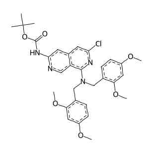 COc1ccc(CN(Cc2ccc(OC)cc2OC)c2nc(Cl)cc3cc(NC(=O)OC(C)(C)C)ncc23)c(OC)c1